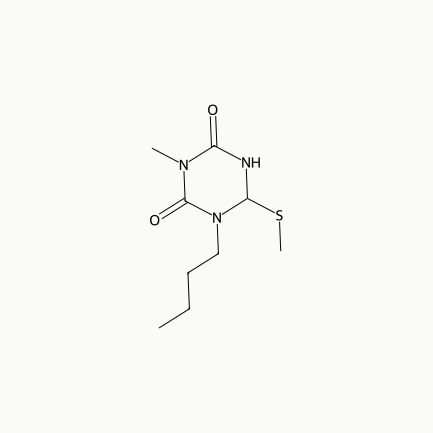 CCCCN1C(=O)N(C)C(=O)NC1SC